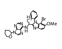 COc1ccc2nc([C@H](C)Nc3ncnc4c3ncn4C3CCCCO3)n(-c3ccccc3)c2c1Br